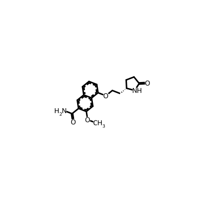 COc1cc2c(OCC[C@@H]3CCC(=O)N3)cccc2cc1C(N)=O